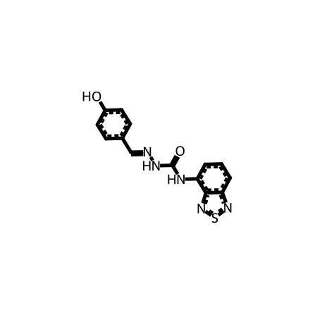 O=C(N/N=C/c1ccc(O)cc1)Nc1cccc2nsnc12